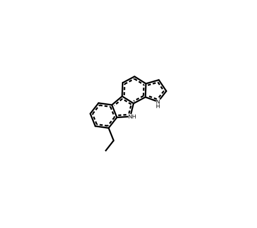 CCc1cccc2c1[nH]c1c2ccc2cc[nH]c21